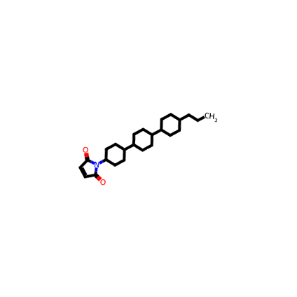 CCCC1CCC(C2CCC(C3CCC(N4C(=O)C=CC4=O)CC3)CC2)CC1